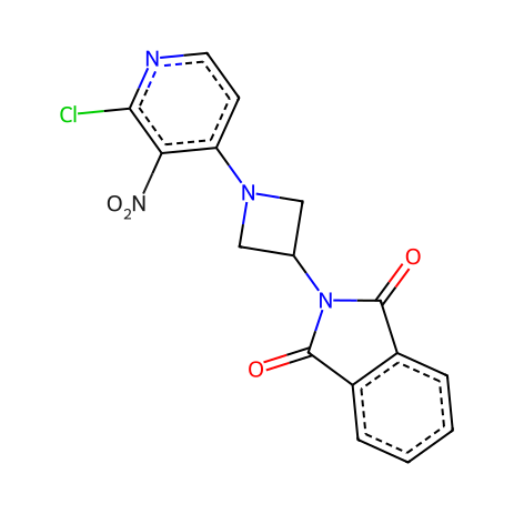 O=C1c2ccccc2C(=O)N1C1CN(c2ccnc(Cl)c2[N+](=O)[O-])C1